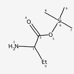 CCC(N)C(=O)O[Si](C)(C)C